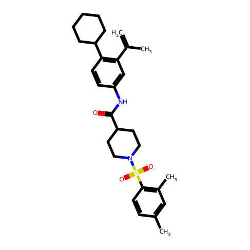 C=C(C)c1cc(NC(=O)C2CCN(S(=O)(=O)c3ccc(C)cc3C)CC2)ccc1C1CCCCC1